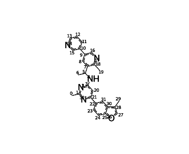 Cc1nc(NC(C)c2cc(-c3cccnc3)cnc2C)cc(-c2ccc3occ(C)c3c2)n1